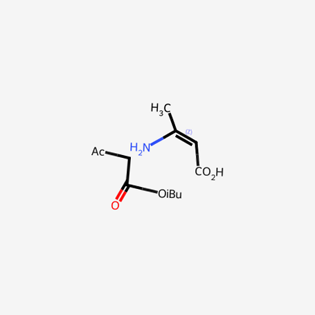 C/C(N)=C/C(=O)O.CC(=O)CC(=O)OCC(C)C